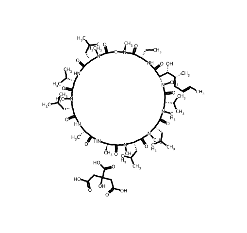 C/C=C/C[C@@H](C)[C@@H](O)[C@H]1C(=O)N[C@@H](CC)C(=O)N(C)CC(=O)N(C)[C@@H](CC(C)C)C(=O)N[C@@H](C(C)C)C(=O)N(C)[C@@H](CC(C)C)C(=O)N[C@@H](C)C(=O)N[C@H](C)C(=O)N(C)[C@@H](CC(C)C)C(=O)N(C)[C@@H](CC(C)C)C(=O)N(C)[C@@H](C(C)C)C(=O)N1C.O=C(O)CC(O)(CC(=O)O)C(=O)O